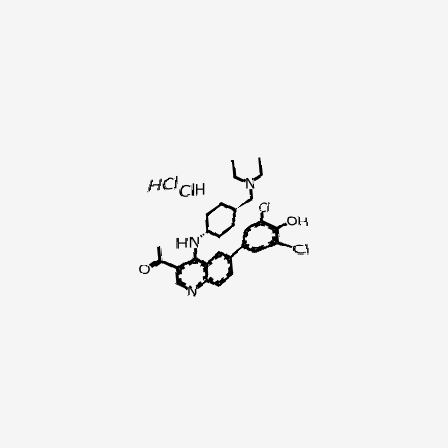 CCN(CC)C[C@H]1CC[C@H](Nc2c(C(C)=O)cnc3ccc(-c4cc(Cl)c(O)c(Cl)c4)cc23)CC1.Cl.Cl